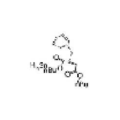 CCCCOC(=O)/C=C(/Cc1ccccc1)C(=O)OCCCC.[SnH4]